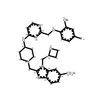 N#Cc1cc(F)ccc1OCc1nccc(OC2CCN(Cc3nc4ccc(C(=O)O)cc4n3C[C@@H]3CCO3)CC2)n1